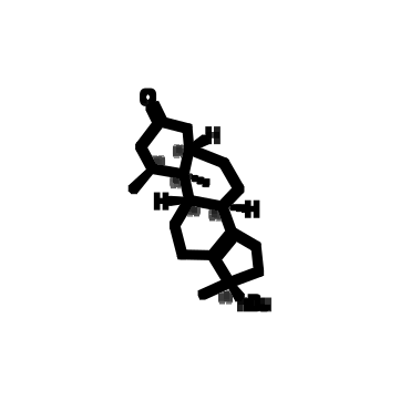 CCCC[C@]1(C)CCC2=C1CC[C@H]1[C@H]2CC[C@H]2CC(=O)C[C@H](C)[C@@]21C